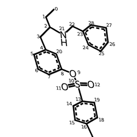 CCC(Cc1cccc(OS(=O)(=O)c2ccc(C)cc2)c1)NCc1ccccc1